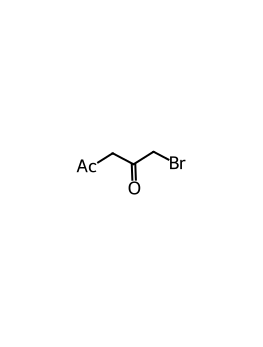 CC(=O)CC(=O)CBr